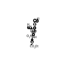 CCOC(=O)CCN1CCC2(CC1)CC(CNc1ccc(S(=O)(=O)NC(=O)c3ccc(N4CCN([C@@H]5CCCCc6c(Cl)cccc65)CC4)cc3Oc3cnc4[nH]ccc4c3)cc1[N+](=O)[O-])C2